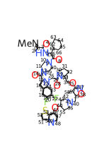 CN[C@@H](C)C(=O)N[C@H](C(=O)N1CCN(C(=O)c2cc3cc(F)c(F)cc3n2CC(=O)N2CCC[C@H]2COC2=NOC(CN3CCC(Oc4ccnc5ccsc45)CC3)C2C)CC1)C1CCCCC1